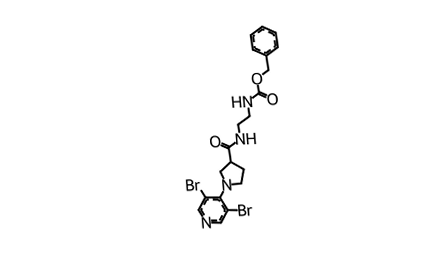 O=C(NCCNC(=O)C1CCN(c2c(Br)cncc2Br)C1)OCc1ccccc1